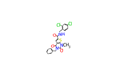 Cn1c(=O)n(Cc2ccccc2)c(=O)c2cc(C(=O)NCc3ccc(Cl)cc3Cl)sc21